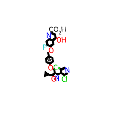 O=C(O)c1cc(O)c2cc(OCC34CCC(OCc5c(-c6c(Cl)cncc6Cl)noc5C5CC5)(CC3)CC4)c(F)cc2n1